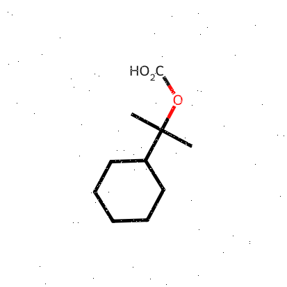 CC(C)(OC(=O)O)C1CCCCC1